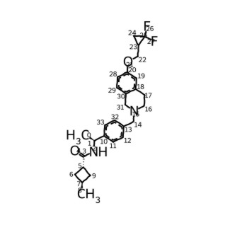 C[C@H](NC(=O)[C@H]1C[C@H](C)C1)c1ccc(CN2CCc3cc(OCC4CC4(F)F)ccc3C2)cc1